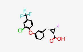 O=C(O)[C@@H]1[C@@H](I)[C@H]1CC1=CC(Oc2ccc(C(F)(F)F)cc2Cl)=CCC1